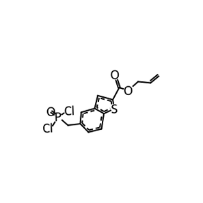 C=CCOC(=O)c1cc2cc(CP(=O)(Cl)Cl)ccc2s1